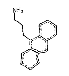 NCCCc1c2ccccc2cc2ccccc12